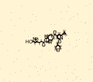 O=C(CCc1cc(O)no1)N1C[C@H]2CCN(C(=O)c3cc(OCC4CCOCC4)nc(C4CC4)c3)CC[C@H]2C1